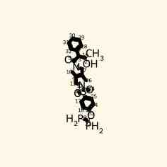 CC(O)C(C(=O)N1CC2=C(C1)CN(S(=O)(=O)c1ccc(OC(P)P)cc1)C2)c1ccccc1